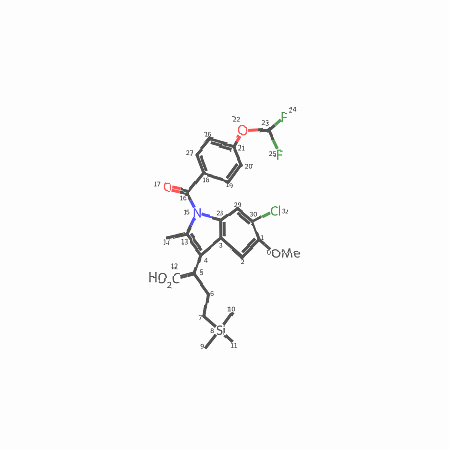 COc1cc2c(C(CC[Si](C)(C)C)C(=O)O)c(C)n(C(=O)c3ccc(OC(F)F)cc3)c2cc1Cl